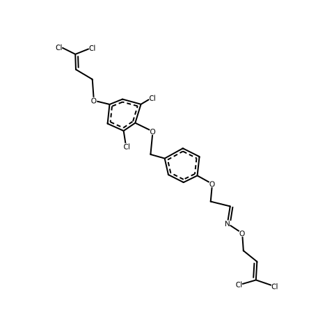 ClC(Cl)=CCON=CCOc1ccc(COc2c(Cl)cc(OCC=C(Cl)Cl)cc2Cl)cc1